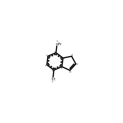 CCCc1ccc(CC)c2c1[CH]C=C2